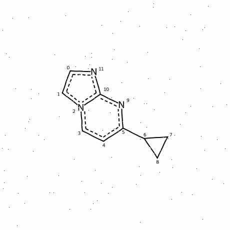 c1cn2ccc(C3CC3)nc2n1